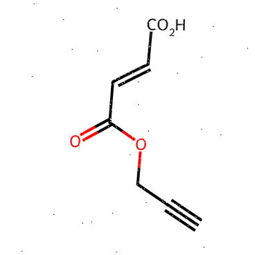 C#CCOC(=O)C=CC(=O)O